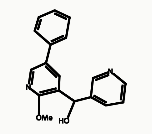 COc1ncc(-c2ccccc2)cc1C(O)c1cccnc1